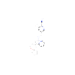 N#Cc1ncc(CNCC[C@]2(c3ccccn3)CCOC3(CCCC3)C2)cc1Br